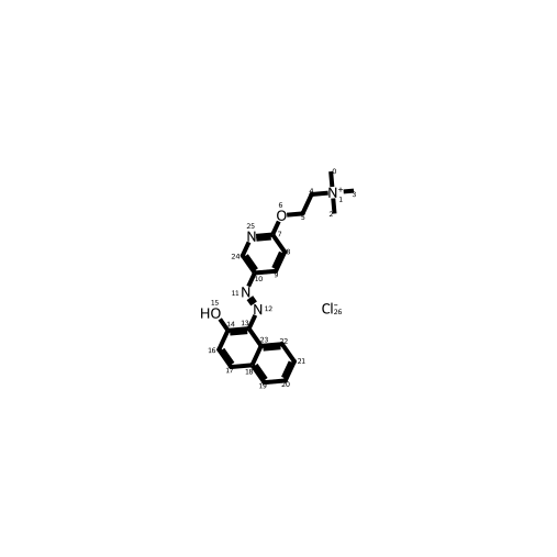 C[N+](C)(C)CCOc1ccc(N=Nc2c(O)ccc3ccccc23)cn1.[Cl-]